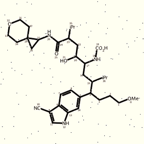 COCCCC(c1ccc2c(C#N)c[nH]c2c1)C(CC(NC(=O)O)C(O)CC(C(=O)NC1CC12CCOCC2)C(C)C)C(C)C